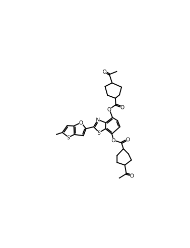 CC(=O)C1CCC(C(=O)Oc2ccc(OC(=O)C3CCC(C(C)=O)CC3)c3sc(-c4cc5sc(C)cc5o4)nc23)CC1